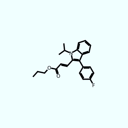 CCCOC(=O)C=Cc1c(-c2ccc(F)cc2)c2ccccc2n1C(C)C